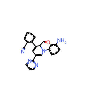 N#Cc1ccccc1C1=CC(c2ncccn2)=CN(c2cccc(N)c2)C1C=O